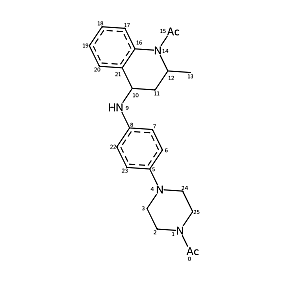 CC(=O)N1CCN(c2ccc(NC3CC(C)N(C(C)=O)c4ccccc43)cc2)CC1